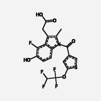 Cc1c(CC(=O)O)c2c(F)c(O)ccc2n1C(=O)c1csc(OC(F)(F)C(F)F)c1